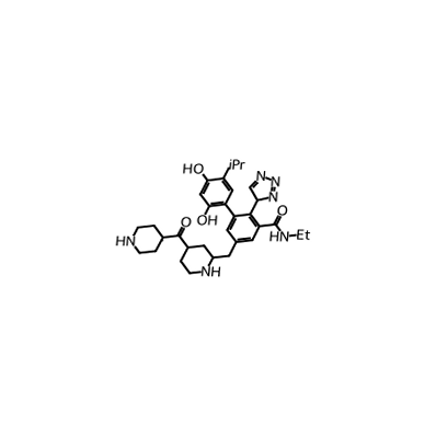 CCNC(=O)c1cc(CC2CC(C(=O)[C]3CCNCC3)CCN2)cc(-c2cc(C(C)C)c(O)cc2O)c1C1C=NN=N1